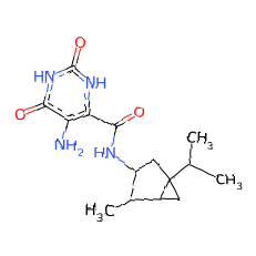 CC1C(NC(=O)c2[nH]c(=O)[nH]c(=O)c2N)CC2(C(C)C)CC12